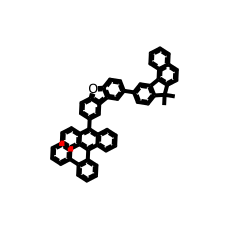 CC1(C)c2ccc(-c3ccc4oc5ccc(-c6c7ccccc7c(-c7ccccc7-c7ccccc7)c7ccccc67)cc5c4c3)cc2-c2c1ccc1ccccc21